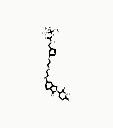 CC(C)(C)OC(=O)NCc1cccc(OCCOCCNc2ccc3c(c2)CN(C2CCC(=O)NC2=O)C3=O)c1